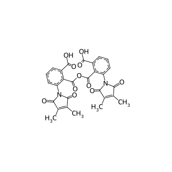 CC1=C(C)C(=O)N(c2cccc(C(=O)O)c2C(=O)OC(=O)c2c(C(=O)O)cccc2N2C(=O)C(C)=C(C)C2=O)C1=O